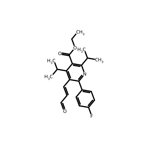 CCOC(=O)c1c(C(C)C)nc(-c2ccc(F)cc2)c(C=CC=O)c1C(C)C